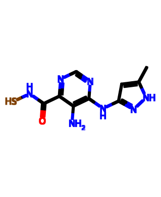 Cc1cc(Nc2ncnc(C(=O)NS)c2N)n[nH]1